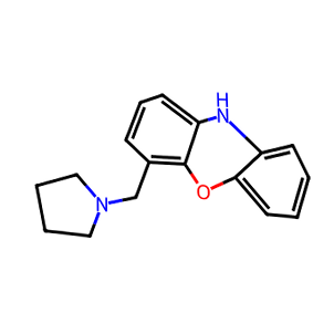 c1ccc2c(c1)Nc1cccc(CN3CCCC3)c1O2